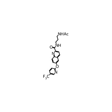 CC(=O)NCCCNC(=O)c1ccc2cc(Oc3ccc(C(F)(F)F)cn3)ccc2n1